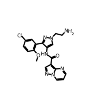 COc1ccc(Cl)cc1-c1nn(CCN)cc1NC(=O)c1cnn2cccnc12